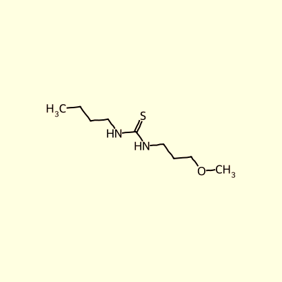 CCCCNC(=S)NCCCOC